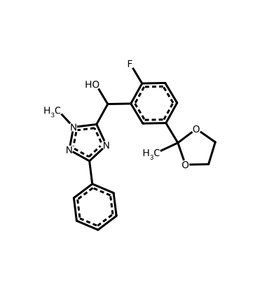 Cn1nc(-c2ccccc2)nc1C(O)c1cc(C2(C)OCCO2)ccc1F